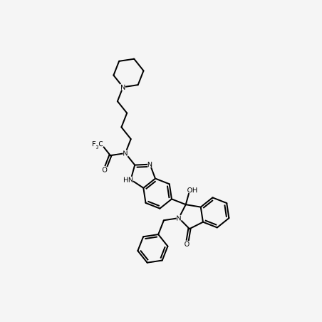 O=C1c2ccccc2C(O)(c2ccc3[nH]c(N(CCCCN4CCCCC4)C(=O)C(F)(F)F)nc3c2)N1Cc1ccccc1